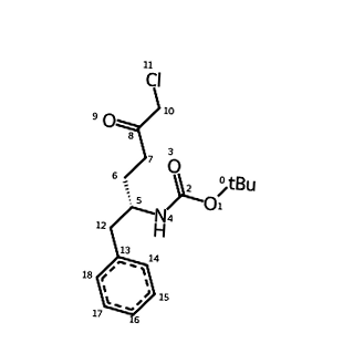 CC(C)(C)OC(=O)N[C@@H](CCC(=O)CCl)Cc1ccccc1